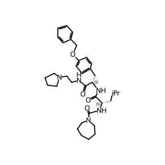 CC(C)C[C@H](NC(=O)N1CCCCCC1)C(=O)N[C@@H](Cc1ccc(OCc2ccccc2)cc1)C(=O)NCCN1CCCC1